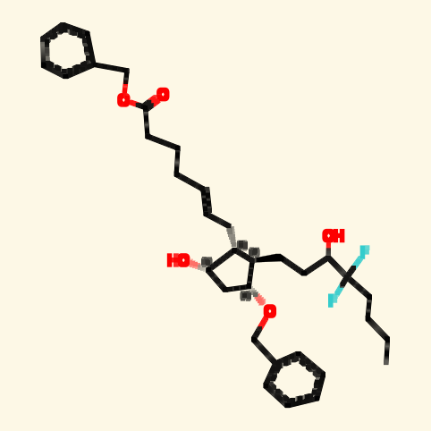 CCCCC(F)(F)C(O)CC[C@@H]1[C@@H](CC=CCCCC(=O)OCc2ccccc2)[C@@H](O)C[C@H]1OCc1ccccc1